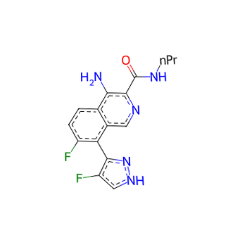 CCCNC(=O)c1ncc2c(-c3n[nH]cc3F)c(F)ccc2c1N